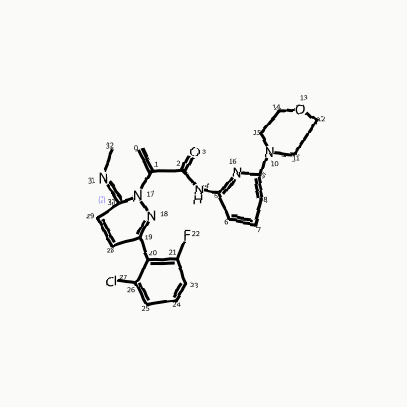 C=C(C(=O)Nc1cccc(N2CCOCC2)n1)n1nc(-c2c(F)cccc2Cl)cc/c1=N/C